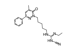 CCN=C(NC#N)NCCCCCn1nc(-c2ccccc2)cc(C)c1=O